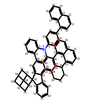 c1ccc(N(c2ccc(-c3cccc4ccccc34)cc2)c2ccccc2-c2cccc3cccc(C4CCCCC4)c23)c(-c2ccc3c(c2)C2(c4ccccc4-3)C3CC4CC5CC2C453)c1